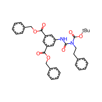 CC(C)(C)OC(=O)N(CCc1ccccc1)C(=O)Nc1cc(C(=O)OCc2ccccc2)cc(C(=O)OCc2ccccc2)c1